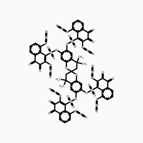 CC1(C)CC2(CC(C)(C)c3cc(OS(=O)(=O)C4=C(N=[N+]=[N-])C(=O)C(=O)c5cccc(N=[N+]=[N-])c54)c(OS(=O)(=O)C4=C(N=[N+]=[N-])C(=O)C(=O)c5cccc(N=[N+]=[N-])c54)cc3O2)Oc2cc(OS(=O)(=O)C3=C(N=[N+]=[N-])C(=O)C(=O)c4cccc(N=[N+]=[N-])c43)c(OS(=O)(=O)C3=C(N=[N+]=[N-])C(=O)C(=O)c4cccc(N=[N+]=[N-])c43)cc21